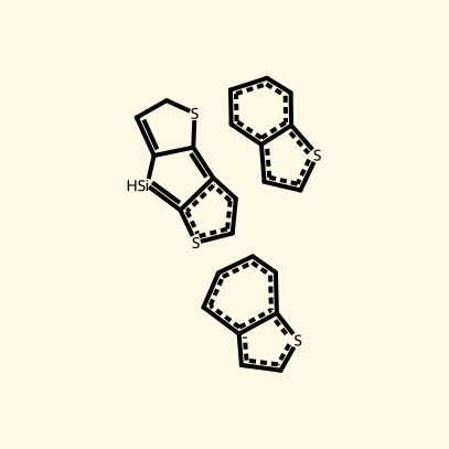 C1=C2[SiH]=c3sccc3=C2SC1.c1ccc2sccc2c1.c1ccc2sccc2c1